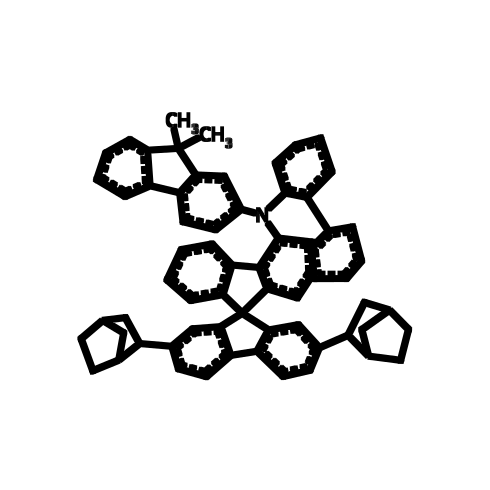 CC1(C)c2ccccc2-c2ccc(N(c3ccccc3-c3ccccc3)c3cccc4c3-c3ccccc3C43c4cc(C5CC6CCC5C6)ccc4-c4ccc(C5CC6CCC5C6)cc43)cc21